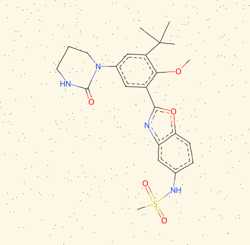 COc1c(-c2nc3cc(NS(C)(=O)=O)ccc3o2)cc(N2CCCNC2=O)cc1C(C)(C)C